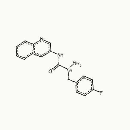 N[C@H](Cc1ccc(F)cc1)C(=O)Nc1cnc2ccccc2c1